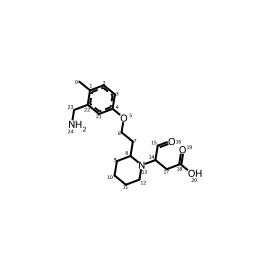 Cc1ccc(OCCC2CCCCN2C(C=O)CC(=O)O)cc1CN